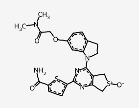 CN(C)C(=O)COc1ccc2c(c1)N(c1nc(-c3ccc(C(N)=O)s3)nc3c1C[S+]([O-])C3)CC2